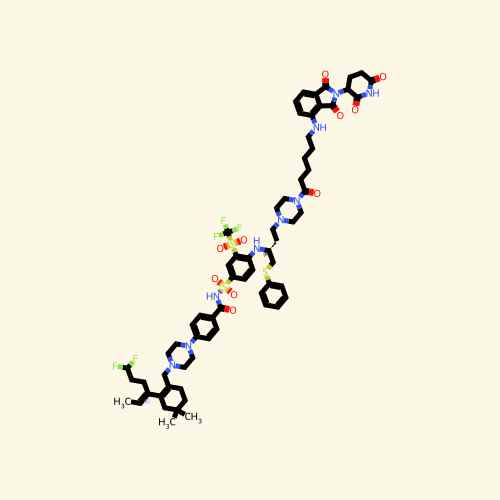 C/C=C(\CCC(F)F)C1=C(CN2CCN(c3ccc(C(=O)NS(=O)(=O)c4ccc(N[C@H](CCN5CCN(C(=O)CCCCCNc6cccc7c6C(=O)N(C6CCC(=O)NC6=O)C7=O)CC5)CSc5ccccc5)c(S(=O)(=O)C(F)(F)F)c4)cc3)CC2)CCC(C)(C)C1